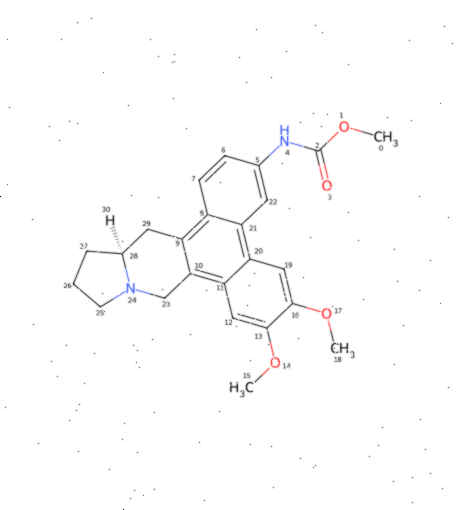 COC(=O)Nc1ccc2c3c(c4cc(OC)c(OC)cc4c2c1)CN1CCC[C@H]1C3